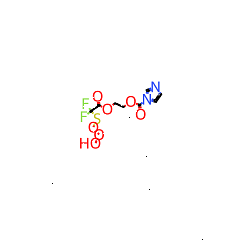 O=C(OCCOC(=O)C(F)(F)SOOO)n1ccnc1